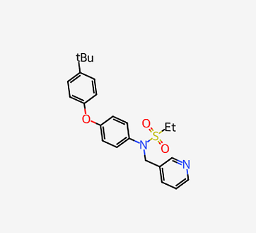 CCS(=O)(=O)N(Cc1cccnc1)c1ccc(Oc2ccc(C(C)(C)C)cc2)cc1